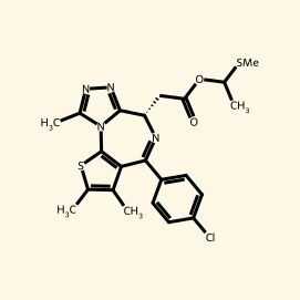 CSC(C)OC(=O)C[C@@H]1N=C(c2ccc(Cl)cc2)c2c(sc(C)c2C)-n2c(C)nnc21